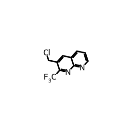 FC(F)(F)c1nc2ncccc2cc1CCl